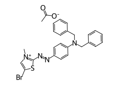 CC(=O)[O-].C[n+]1cc(Br)sc1N=Nc1ccc(N(Cc2ccccc2)Cc2ccccc2)cc1